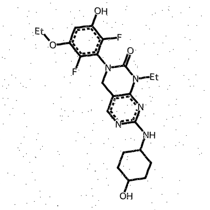 CCOc1cc(O)c(F)c(N2Cc3cnc(NC4CCC(O)CC4)nc3N(CC)C2=O)c1F